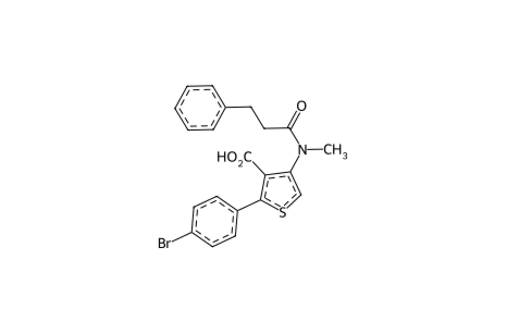 CN(C(=O)CCc1ccccc1)c1csc(-c2ccc(Br)cc2)c1C(=O)O